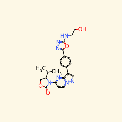 CC(C)C1COC(=O)N1c1ccn2ncc(-c3ccc(-c4nnc(NCCO)o4)cc3)c2n1